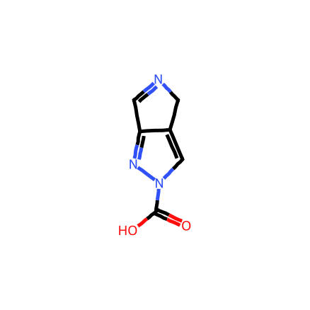 O=C(O)n1cc2c(n1)C=NC2